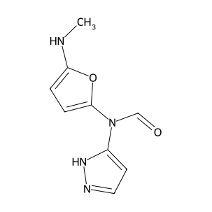 CNc1ccc(N(C=O)c2ccn[nH]2)o1